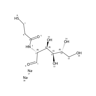 O=C[C@H](NC(=O)CCS)[C@@H](O)[C@H](O)[C@H](O)CO.[Na].[Na]